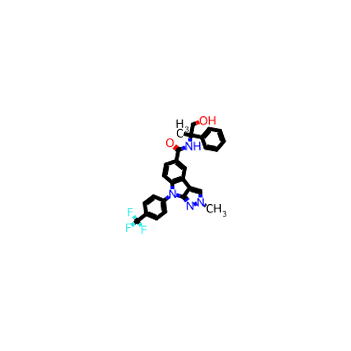 Cn1cc2c3cc(C(=O)NC(C)(CO)c4ccccc4)ccc3n(-c3ccc(C(F)(F)F)cc3)c2n1